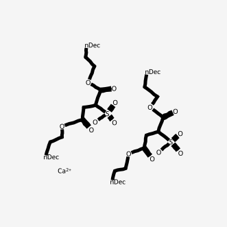 CCCCCCCCCCCCOC(=O)CC(C(=O)OCCCCCCCCCCCC)S(=O)(=O)[O-].CCCCCCCCCCCCOC(=O)CC(C(=O)OCCCCCCCCCCCC)S(=O)(=O)[O-].[Ca+2]